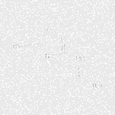 CC(C)(C)C(=O)Nc1coc(C(C)(C)C)n1